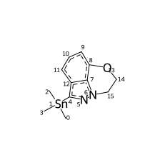 [CH3][Sn]([CH3])([CH3])[c]1nn2c3c(cccc13)OCC2